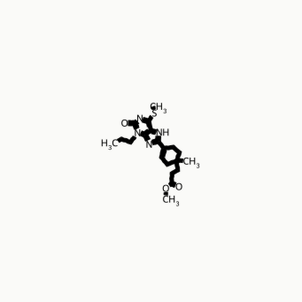 CCCn1c(=O)nc(SC)c2[nH]c(C3=CCC(C)(CCC(=O)OC)CC3)nc21